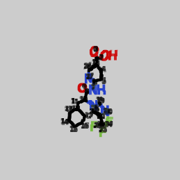 O=C(O)c1ccc(NC(=O)C(CC2CCCCC2)n2cnc(C(F)(F)F)c2)nc1